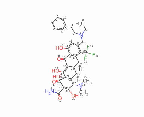 CCN(CCc1ccccc1)Cc1cc(O)c2c(c1C(F)(F)F)C[C@H]1C[C@H]3[C@H](N(C)C)C(O)=C(C(N)=O)C(=O)[C@@]3(O)C(O)=C1C2=O